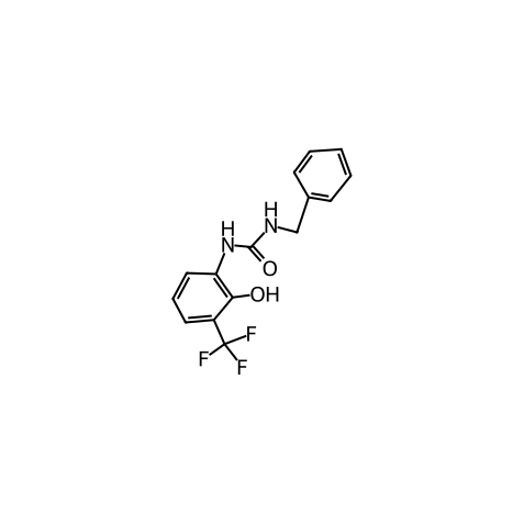 O=C(NCc1ccccc1)Nc1cccc(C(F)(F)F)c1O